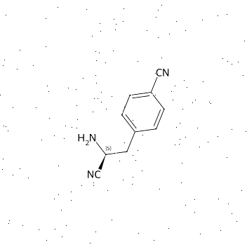 N#Cc1ccc(C[C@H](N)C#N)cc1